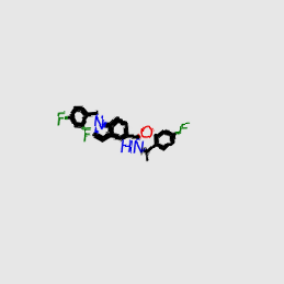 C[C@@H](NC(=O)c1ccc2c(ccn2Cc2ccc(F)cc2F)c1)c1ccc(F)cc1